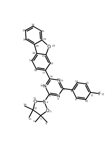 CC1(C)OB(c2nc(-c3ccc(F)cc3)nc(-c3ccc4c(c3)oc3ccccc34)n2)OC1(C)C